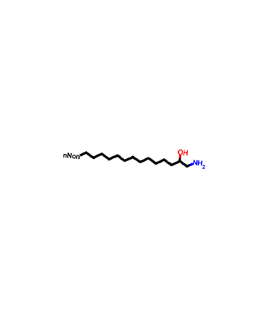 CCCCCCCCCCCCCCCCCCCCCC(O)CN